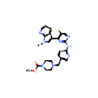 CC(C)n1cc(-c2nc(Nc3ccc(CN4CCN(C(=O)OC(C)(C)C)CC4)cn3)ncc2F)c2cccnc21